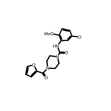 COc1ccc(Cl)cc1NC(=O)N1CCN(C(=O)c2ccco2)CC1